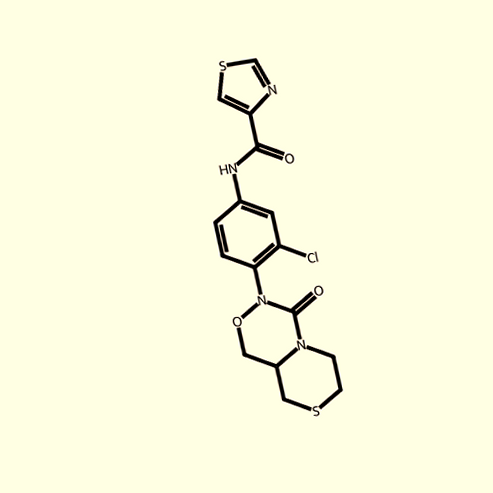 O=C(Nc1ccc(N2OCC3CSCCN3C2=O)c(Cl)c1)c1cscn1